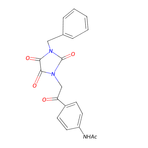 CC(=O)Nc1ccc(C(=O)CN2C(=O)C(=O)N(Cc3ccccc3)C2=O)cc1